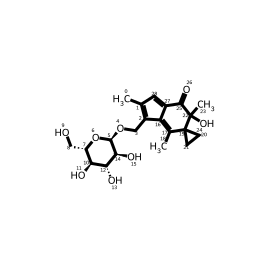 CC1=C(CO[C@@H]2O[C@@H](CO)[C@H](O)[C@@H](O)[C@@H]2O)C2=C(C)C3(CC3)C(C)(O)C(=O)C2=C1